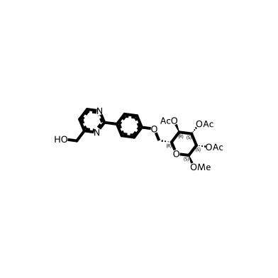 CO[C@H]1O[C@H](COc2ccc(-c3nccc(CO)n3)cc2)[C@@H](OC(C)=O)[C@H](OC(C)=O)[C@@H]1OC(C)=O